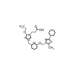 CCOc1nn(Cc2cccc(OCc3nc(-c4ccccc4)oc3C)n2)cc1CCC(=O)O